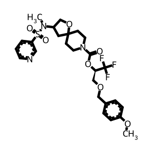 COc1ccc(COC[C@@H](OC(=O)N2CCC3(CC2)CC(N(C)S(=O)(=O)c2cccnc2)CO3)C(F)(F)F)cc1